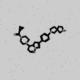 O=C(C1CC1)N1CCN(C2CC=NN3C=C(c4ccc(N5CCC6(CCNC6)C5)cc4)CC23)CC1